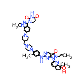 C=CCn1c(=O)c2cnc(Nc3ccc(N4CCN(CC5CCN(c6ccc7c(N8CCC(=O)NC8=O)nn(C)c7c6)CC5)CC4)c(C)c3)nc2n1-c1ccc2c(n1)[C@@](C)(O)CC2